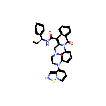 CC[C@H](NC(=O)c1c(CN2CCN(C3=CC=CN4SNC=C34)CC2)n(-c2ccccc2)c(=O)c2ccccc12)c1ccccc1